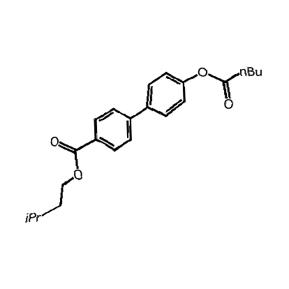 CCCCC(=O)Oc1ccc(-c2ccc(C(=O)OCCC(C)C)cc2)cc1